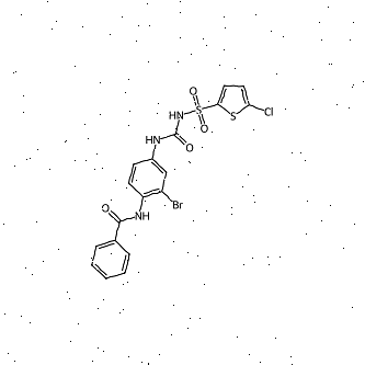 O=C(Nc1ccc(NC(=O)c2ccccc2)c(Br)c1)NS(=O)(=O)c1ccc(Cl)s1